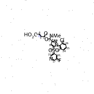 CNC(OC(=O)/C=C/C(=O)O)c1cc(S(=O)(=O)c2cncc(F)c2)n(-c2ccccc2Cl)n1